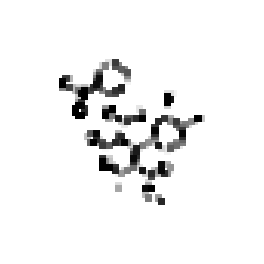 COC(=O)c1c(C)nc(=O)n(C(=O)Oc2ccccc2[N+](=O)[O-])c1-c1ccc(F)c(F)c1